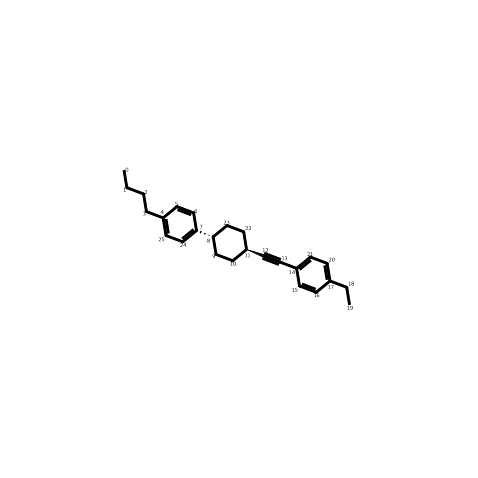 CCCCc1ccc([C@H]2CC[C@H](C#Cc3ccc(CC)cc3)CC2)cc1